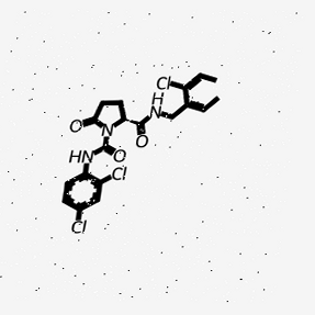 C/C=C(CNC(=O)[C@@H]1CCC(=O)N1C(=O)Nc1ccc(Cl)cc1Cl)\C(Cl)=C/C